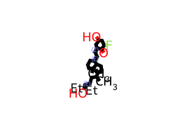 CCC(O)(/C=C/CC(C)C1=CCC2/C(=C/C=C3/CC(O)CC(F)C3=O)CCCC12C)CC